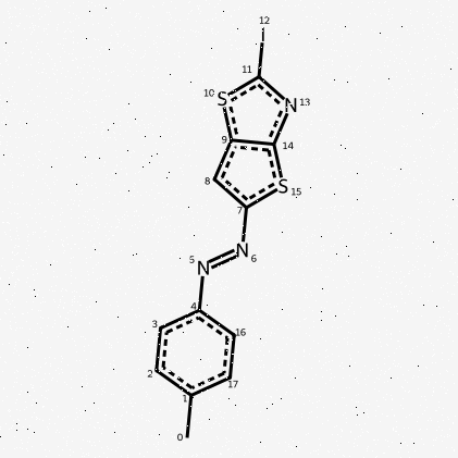 Cc1ccc(N=Nc2cc3sc(I)nc3s2)cc1